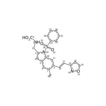 O=C(O)NCc1cc2cc(F)c(C=Cc3ccon3)cc2n1S(=O)(=O)c1ccccc1